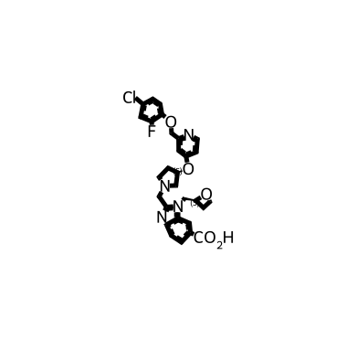 O=C(O)c1ccc2nc(CN3CC[C@H](Oc4ccnc(COc5ccc(Cl)cc5F)c4)C3)n(C[C@@H]3CCO3)c2c1